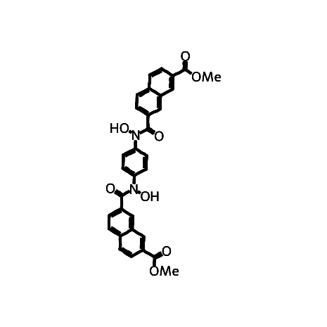 COC(=O)c1ccc2ccc(C(=O)N(O)c3ccc(N(O)C(=O)c4ccc5ccc(C(=O)OC)cc5c4)cc3)cc2c1